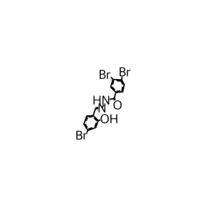 O=C(NN=Cc1ccc(Br)cc1O)c1ccc(Br)c(Br)c1